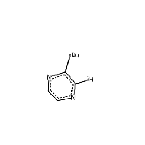 [2H]c1nccnc1CCCC